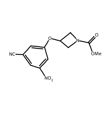 COC(=O)N1CC(Oc2cc(C#N)cc([N+](=O)[O-])c2)C1